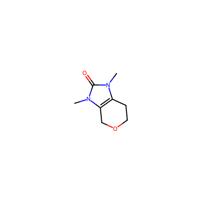 Cn1c2c(n(C)c1=O)COCC2